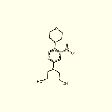 O=[N+]([O-])c1cc(N(CCO)CCO)ccc1N1CCOCC1